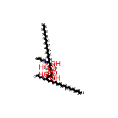 CCC/C=C/C(CCCCCCCCCCCCCCCC)C(O)C(O)C(=O)OC(=O)C(O)C(O)C(/C=C/CCC)CCCCCCCCCCCCCCCC